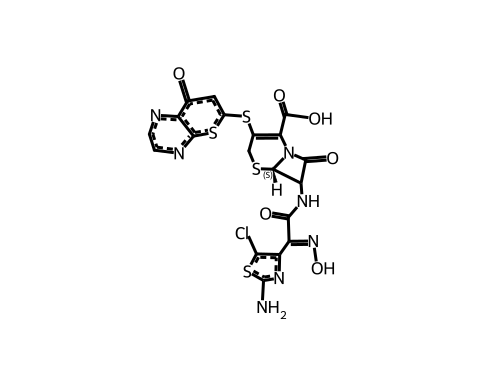 Nc1nc(C(=NO)C(=O)NC2C(=O)N3C(C(=O)O)=C(Sc4cc(=O)c5nccnc5s4)CS[C@@H]23)c(Cl)s1